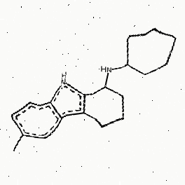 Cc1ccc2[nH]c3c(c2c1)CCCC3NC1CCCCC1